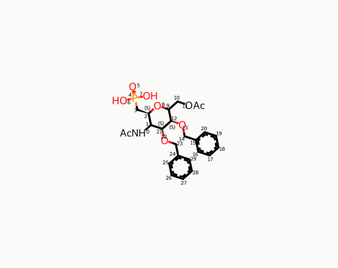 CC(=O)NC1[C@@H](CP(=O)(O)O)OC(COC(C)=O)[C@@H](OCc2ccccc2)[C@H]1OCc1ccccc1